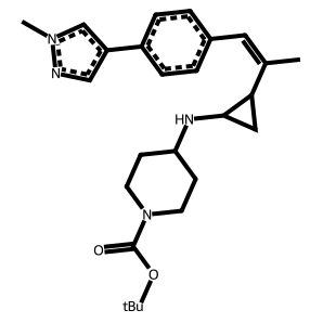 CC(=Cc1ccc(-c2cnn(C)c2)cc1)C1CC1NC1CCN(C(=O)OC(C)(C)C)CC1